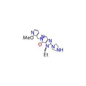 CCC#Cn1c(N2CCNCC2)nc2cnn(Cc3cccnc3OC)c(=O)c21